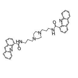 O=C(NCCCN1CCN(CCCNC(=O)c2cccc3cc4ccccc4nc23)CC1)c1cccc2cc3ccccc3nc12